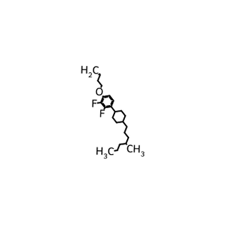 C=CCCOc1ccc(C2CCC(CCCC(C)CCC)CC2)c(F)c1F